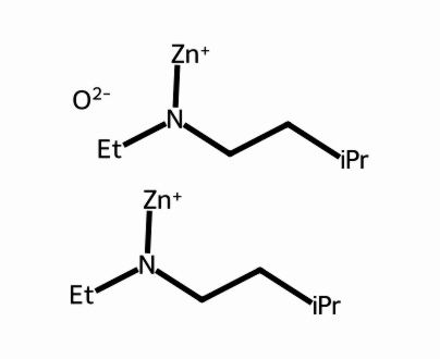 CC[N]([Zn+])CCC(C)C.CC[N]([Zn+])CCC(C)C.[O-2]